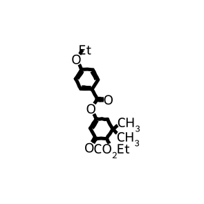 CCOC(=O)C1C(=O)C=C(OC(=O)c2ccc(OCC)cc2)CC1(C)C